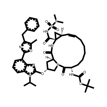 Cc1oc(-c2cccc3c2nc(O[C@@H]2C[C@H]4C(=O)N[C@]5(C(=O)NS(=O)(=O)N(C)C)C[C@H]5/C=C\CCCCC[C@H](NC(=O)OC(C)(C)C)C(=O)N4C2)n3C(C)C)nc1Cc1ccccc1